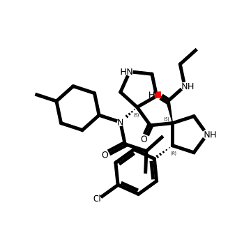 CCNC(=N)[C@@]1(C(=O)[C@]2(N(C(=O)C(C)C)C3CCC(C)CC3)CCNC2)CNC[C@@H]1c1ccc(Cl)cc1